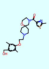 Cc1nc(C(=O)N2CCOC3(CCN(CCOc4cc(C)c(CO)cc4C)CC3)C2)cs1